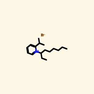 CCCCCCC(CC)[n+]1ccccc1C(C)C.[Br-]